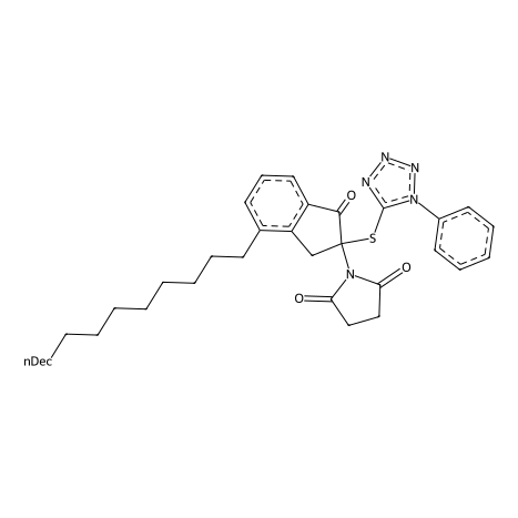 CCCCCCCCCCCCCCCCCCc1cccc2c1CC(Sc1nnnn1-c1ccccc1)(N1C(=O)CCC1=O)C2=O